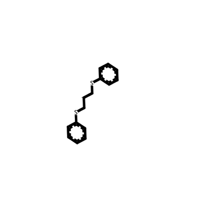 [CH](CSc1ccccc1)CSc1ccccc1